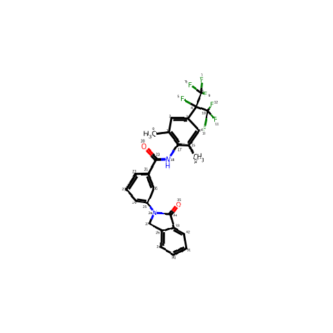 Cc1cc(C(F)(C(F)(F)F)C(F)(F)F)cc(C)c1NC(=O)c1cccc(N2Cc3ccccc3C2=O)c1